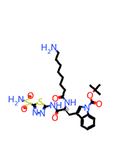 CC(C)(C)OC(=O)n1cc(C[C@H](NC(=O)CCCCCCCN)C(=O)Nc2nnc(S(N)(=O)=O)s2)c2ccccc21